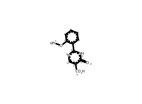 CCCOc1ccccc1-c1ncc(C(=O)O)c(=O)[nH]1